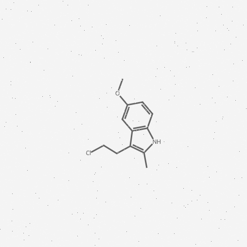 COc1ccc2[nH]c(C)c(CCCl)c2c1